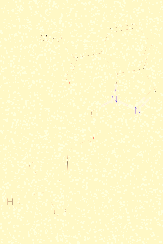 COC(=O)c1cccc2cnn(COCC[Si](C)(C)C)c12